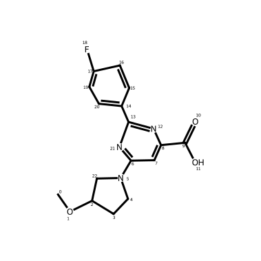 COC1CCN(c2cc(C(=O)O)nc(-c3ccc(F)cc3)n2)C1